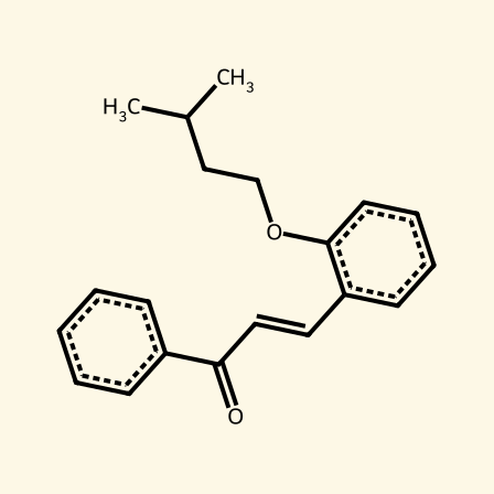 CC(C)CCOc1ccccc1C=CC(=O)c1ccccc1